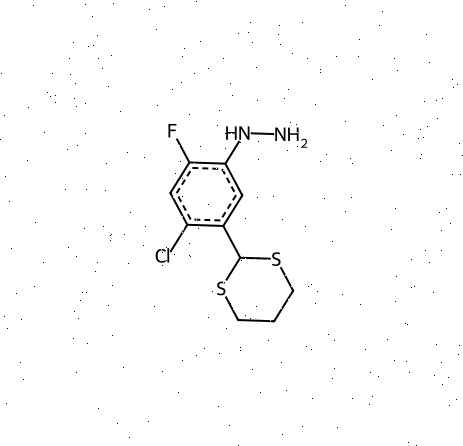 NNc1cc(C2SCCCS2)c(Cl)cc1F